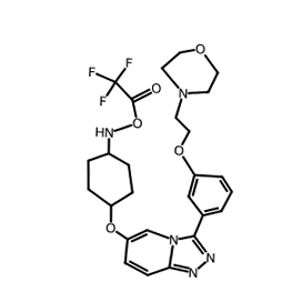 O=C(ONC1CCC(Oc2ccc3nnc(-c4cccc(OCCN5CCOCC5)c4)n3c2)CC1)C(F)(F)F